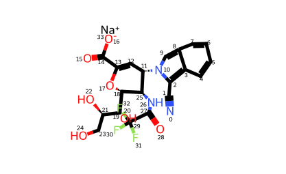 N#Cc1c2ccccc2cn1[C@H]1C=C(C(=O)[O-])O[C@@H]([C@H](O)[C@H](O)CO)[C@@H]1NC(=O)C(F)(F)F.[Na+]